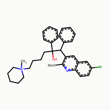 COc1nc2ccc(Br)cc2cc1C(c1ccccc1)C(O)(CCCC[N+]1(C)CCCCC1)c1ccccc1